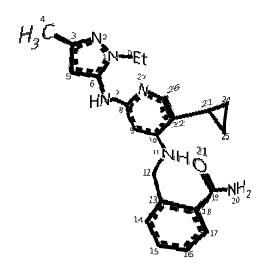 CCn1nc(C)cc1Nc1cc(NCc2ccccc2C(N)=O)c(C2CC2)cn1